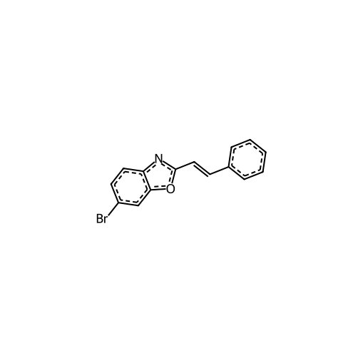 Brc1ccc2nc(C=Cc3ccccc3)oc2c1